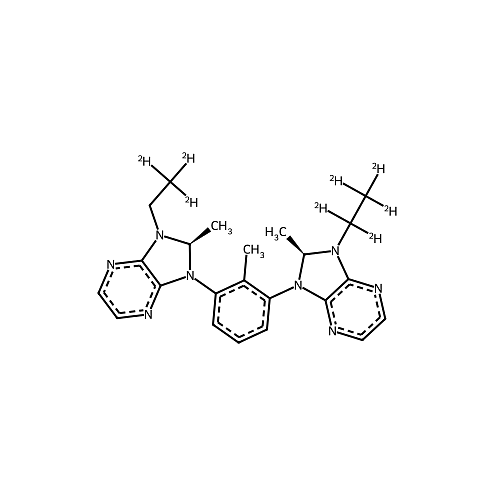 [2H]C([2H])([2H])CN1c2nccnc2N(c2cccc(N3c4nccnc4N(C([2H])([2H])C([2H])([2H])[2H])[C@@H]3C)c2C)[C@@H]1C